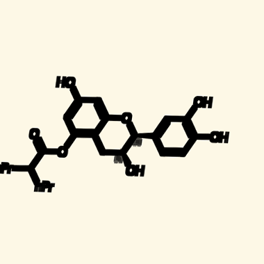 CCCC(CCC)C(=O)Oc1cc(O)cc2c1C[C@H](O)[C@H](c1ccc(O)c(O)c1)O2